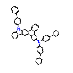 c1ccc(-c2ccc(N(c3ccc(-c4ccccc4)cc3)c3ccc4c(c3)c3ccccc3c3cc5c(cc43)c3ccccc3n5-c3ccc(-c4ccccc4)cc3)cc2)cc1